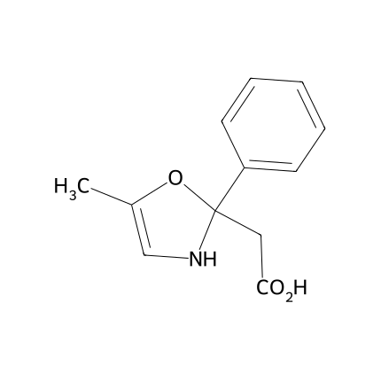 CC1=CNC(CC(=O)O)(c2ccccc2)O1